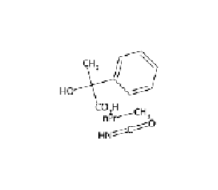 CC(O)(C(=O)O)c1ccccc1.CCCC.N=C=O